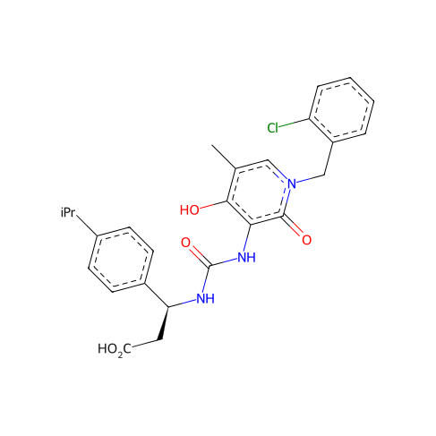 Cc1cn(Cc2ccccc2Cl)c(=O)c(NC(=O)N[C@@H](CC(=O)O)c2ccc(C(C)C)cc2)c1O